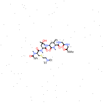 CCCC(=O)N(C)[C@H](CSCCN(CC)CC)C(=O)N(C)[C@@H](CC(C)(C)O)C(=O)N[C@H](C(=O)N(C)[C@@H](CC(C)C)C(=O)N[C@H](C)C(=O)N[C@H](C)C(=O)NC)C(C)C